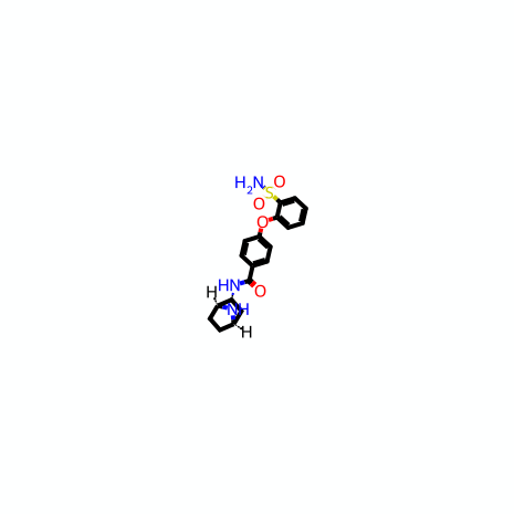 NS(=O)(=O)c1ccccc1Oc1ccc(C(=O)N[C@@H]2C[C@H]3CC[C@@H]2N3)cc1